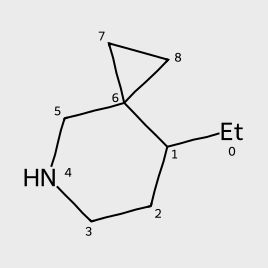 CCC1CCNCC12CC2